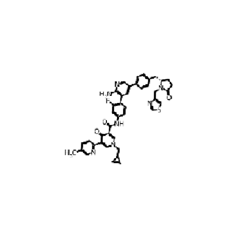 Cc1ccc(-c2cn(CC3CC3)cc(C(=O)Nc3ccc(-c4cc(-c5ccc(C[C@@H]6CCC(=O)N6Cc6cscn6)cc5)cnc4N)c(F)c3)c2=O)nc1